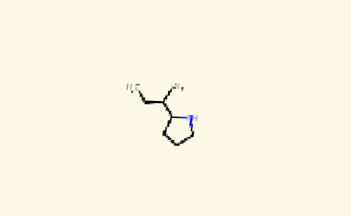 CCC(C)C1CCCN1